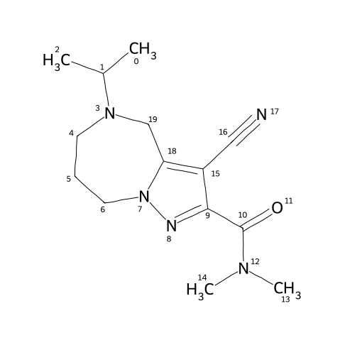 CC(C)N1CCCn2nc(C(=O)N(C)C)c(C#N)c2C1